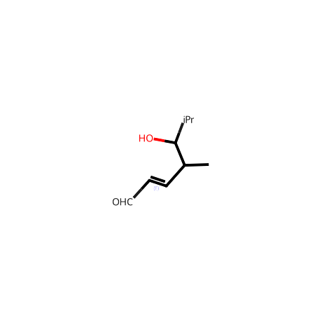 CC(C)C(O)C(C)/C=C/C=O